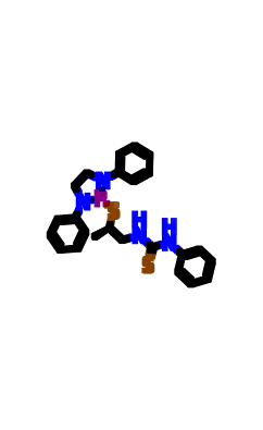 C[C@H](CNC(=S)Nc1ccccc1)SP1N(c2ccccc2)CCN1c1ccccc1